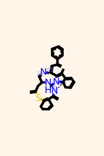 C=C1CC(/C=N\C)N/C(N2C(/C=C\C(=C)c3ccccc3)=C(C)C3=CC=CC[C@]32C)=N\C(=C)C2=C(CCC=C2)S1